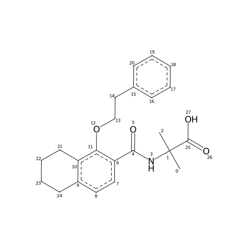 CC(C)(NC(=O)c1ccc2c(c1OCCc1ccccc1)CCCC2)C(=O)O